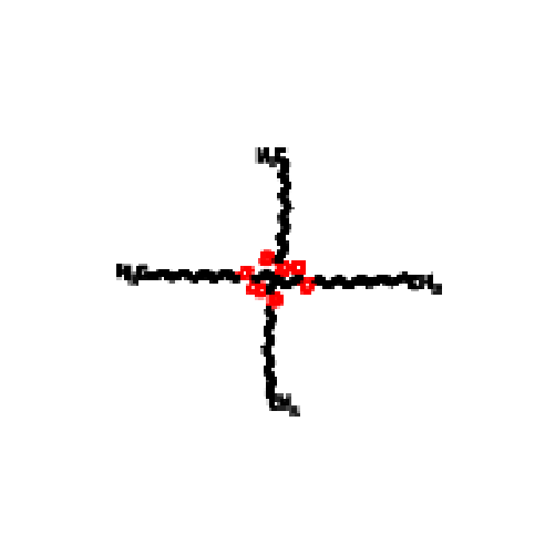 CCCCCCCCCCOC(=O)CC(CC(=O)OCCCCCCCCCC)(OC(=O)CCCCCCCCCC)C(=O)OCCCCCCCCCC